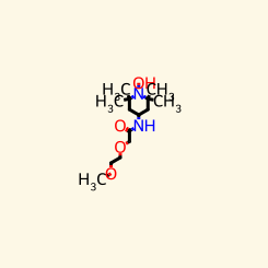 COCCOCC(=O)NC1CC(C)(C)N(O)C(C)(C)C1